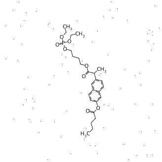 CCCCC(=O)Oc1ccc2cc(C(C)C(=O)OCCCCOP(=O)(OCC)OCC)ccc2c1